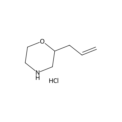 C=CCC1CNCCO1.Cl